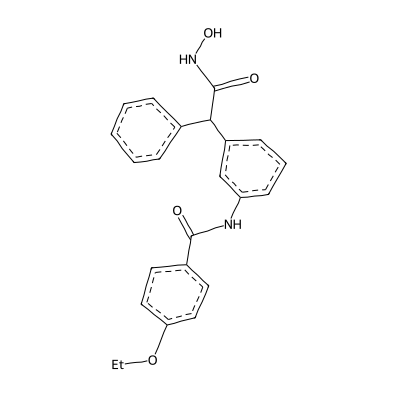 CCOc1ccc(C(=O)Nc2cccc(C(C(=O)NO)c3ccccc3)c2)cc1